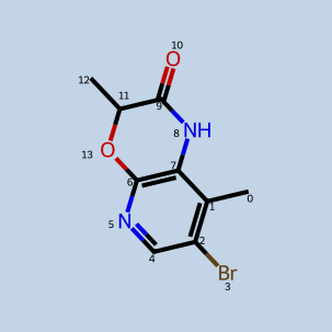 Cc1c(Br)cnc2c1NC(=O)C(C)O2